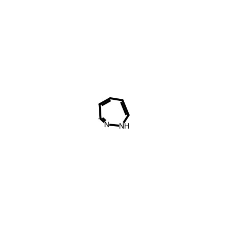 [C]1=NNC=CC=C1